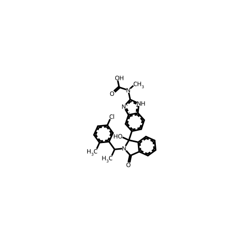 Cc1ccc(Cl)cc1C(C)N1C(=O)c2ccccc2C1(O)c1ccc2[nH]c(N(C)C(=O)O)nc2c1